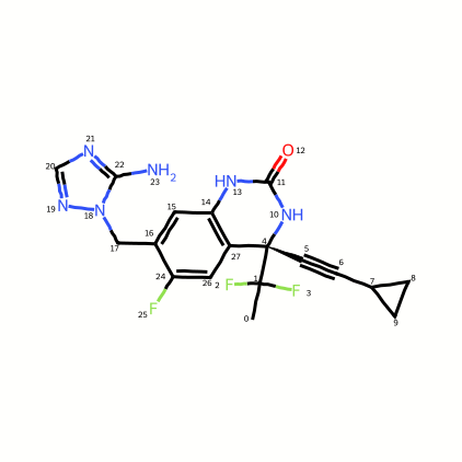 CC(F)(F)[C@@]1(C#CC2CC2)NC(=O)Nc2cc(Cn3ncnc3N)c(F)cc21